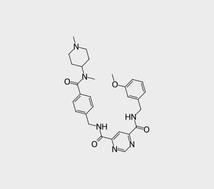 COc1cccc(CNC(=O)c2cc(C(=O)NCc3ccc(C(=O)N(C)C4CCN(C)CC4)cc3)ncn2)c1